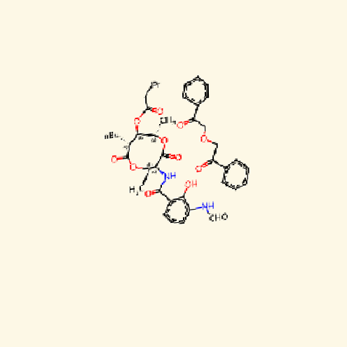 CCCC[C@H]1C(=O)O[C@H](C)[C@H](NC(=O)c2cccc(NC=O)c2O)C(=O)O[C@@H](C)[C@@H]1OC(=O)CC(C)C.O=C(COCC(=O)c1ccccc1)c1ccccc1